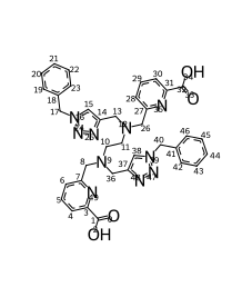 O=C(O)c1cccc(CN(CCN(Cc2cn(Cc3ccccc3)nn2)Cc2cccc(C(=O)O)n2)Cc2cn(Cc3ccccc3)nn2)n1